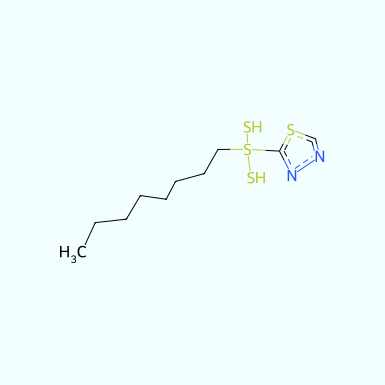 CCCCCCCCS(S)(S)c1nncs1